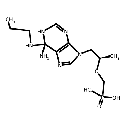 CCCNC1(N)NC=Nc2c1ncn2C[C@@H](C)OCP(=O)(O)O